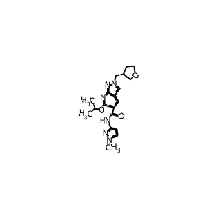 CC(C)Oc1nc2nn(CC3CCOC3)cc2cc1C(=O)Nc1ccn(C)n1